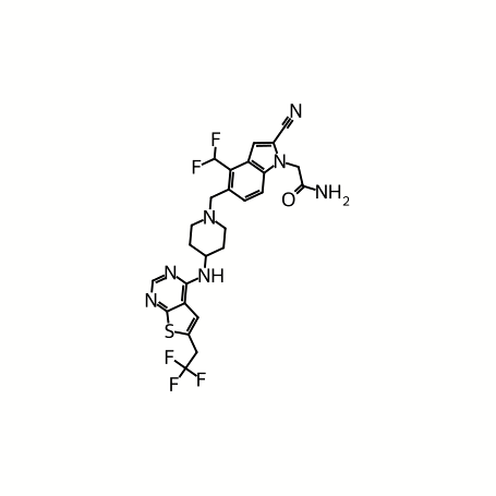 N#Cc1cc2c(C(F)F)c(CN3CCC(Nc4ncnc5sc(CC(F)(F)F)cc45)CC3)ccc2n1CC(N)=O